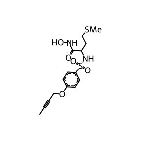 CC#CCOc1ccc(S(=O)(=O)NC(CCSC)C(=O)NO)cc1